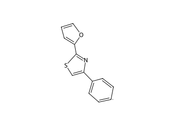 [c]1ccc(-c2csc(-c3ccco3)n2)cc1